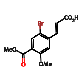 COC(=O)c1cc(Br)c(/C=C/C(=O)O)cc1OC